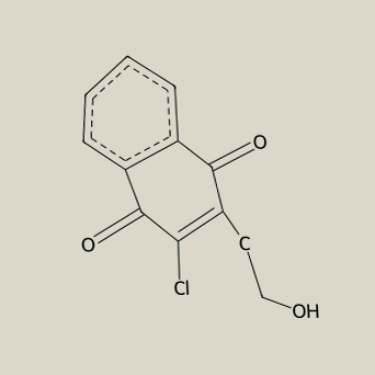 O=C1C(Cl)=C(CCO)C(=O)c2ccccc21